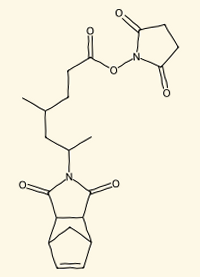 CC(CCC(=O)ON1C(=O)CCC1=O)CC(C)N1C(=O)C2C3C=CC(C3)C2C1=O